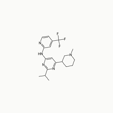 CC(C)c1nc(Nc2cc(C(F)(F)F)ccn2)cc(C2CCCN(C)C2)n1